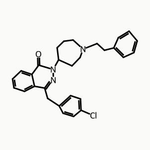 O=c1c2ccccc2c(Cc2ccc(Cl)cc2)nn1C1CCCN(CCc2ccccc2)CC1